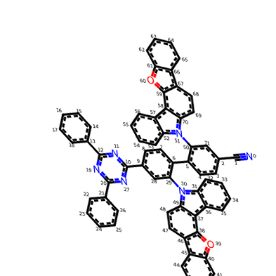 N#Cc1ccc(-c2ccc(-c3nc(-c4ccccc4)nc(-c4ccccc4)n3)cc2-n2c3ccccc3c3c4oc5ccccc5c4ccc32)c(-n2c3ccccc3c3c4oc5ccccc5c4ccc32)c1